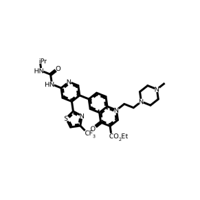 CCOC(=O)c1cn(CCN2CCN(C)CC2)c2ccc(-c3cnc(NC(=O)NC(C)C)cc3-c3nc(C(F)(F)F)cs3)cc2c1=O